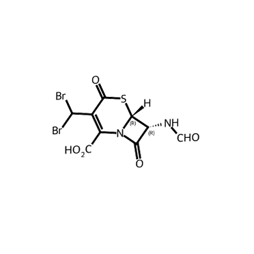 O=CN[C@@H]1C(=O)N2C(C(=O)O)=C(C(Br)Br)C(=O)S[C@H]12